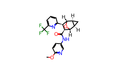 COc1ccc(NC(=O)[C@@H]2[C@@H]3O[C@@H]([C@H]4C[C@H]43)[C@@H]2c2cccc(C(F)(F)F)n2)cn1